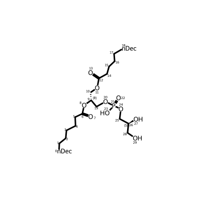 CCCCCCCCCCCCCCCC(=O)O[C@H](COC(=O)CCCCCCCCCCCCCC)COP(=O)(O)OC[C@@H](O)CO